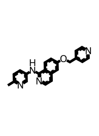 Cc1ccc(Nc2nccc3cc(OCc4ccncc4)ccc23)cn1